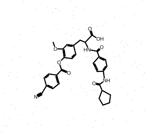 COc1cc(CC(NC(=O)c2ccc(NC(=O)C3CCCC3)cc2)C(=O)O)ccc1OC(=O)c1ccc(C#N)cc1